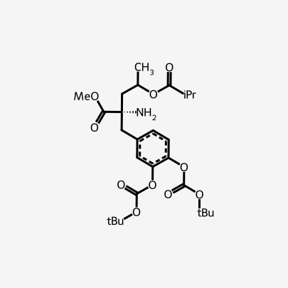 COC(=O)[C@](N)(Cc1ccc(OC(=O)OC(C)(C)C)c(OC(=O)OC(C)(C)C)c1)CC(C)OC(=O)C(C)C